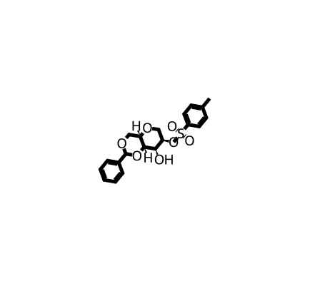 Cc1ccc(S(=O)(=O)O[C@@H]2CO[C@@H]3COC(c4ccccc4)O[C@@H]3[C@H]2O)cc1